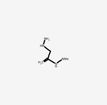 C=C(CNN)NNC